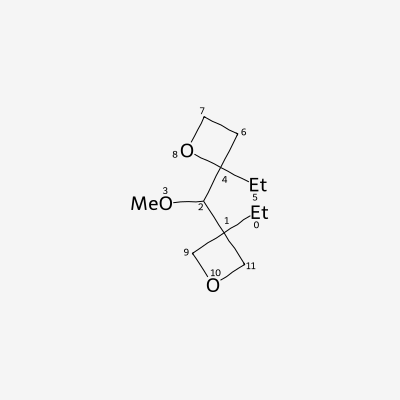 CCC1(C(OC)C2(CC)CCO2)COC1